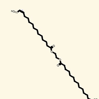 CCCCCCCC/C=C\CCCCCCCCCCCC(=O)OCCOC(=O)CCCCCCCCCCC/C=C\CCCCCCCC